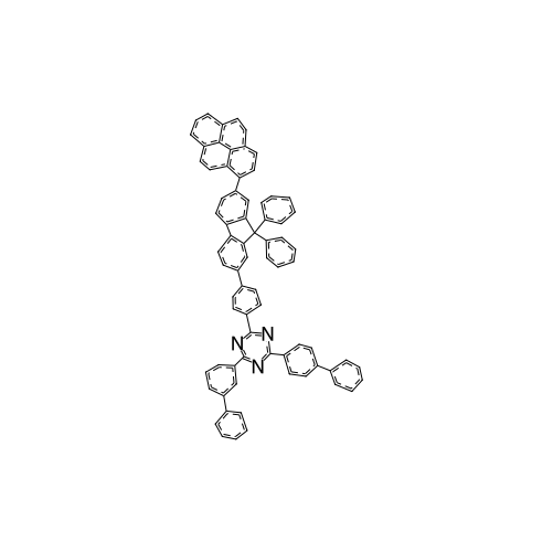 c1ccc(-c2ccc(-c3nc(-c4ccc(-c5ccc6c(c5)C(c5ccccc5)(c5ccccc5)c5cc(-c7ccc8ccc9cccc%10ccc7c8c9%10)ccc5-6)cc4)nc(-c4cccc(-c5ccccc5)c4)n3)cc2)cc1